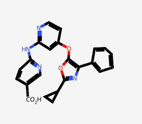 O=C(O)c1ccc(Nc2cc(Oc3oc(C4CC4)nc3-c3ccccc3)ccn2)nc1